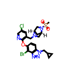 CS(=O)(=O)N1C[C@H]2C[C@@H]1CN2Cc1cc(Cl)cnc1Oc1ccc2c(nnn2CC2CC2)c1Br